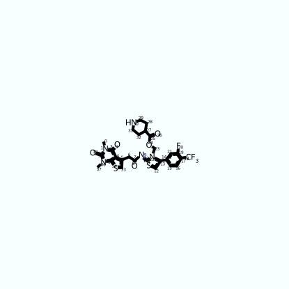 Cn1c(=O)c2c(CC(=O)/N=c3\scc(-c4ccc(C(F)(F)F)c(F)c4)n3COC(=O)C3CCNCC3)csc2n(C)c1=O